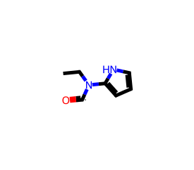 CCN([C]=O)c1ccc[nH]1